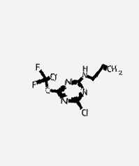 C=CCNc1nc(Cl)nc(OC(F)(F)Cl)n1